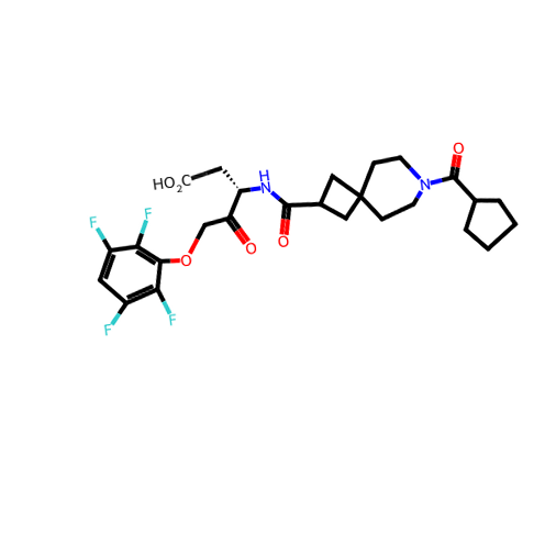 O=C(O)C[C@H](NC(=O)C1CC2(CCN(C(=O)C3CCCC3)CC2)C1)C(=O)COc1c(F)c(F)cc(F)c1F